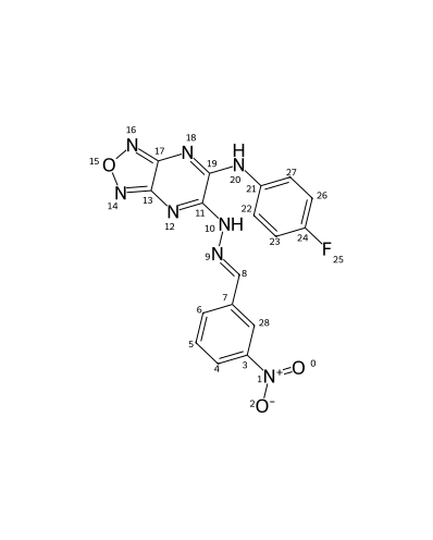 O=[N+]([O-])c1cccc(C=NNc2nc3nonc3nc2Nc2ccc(F)cc2)c1